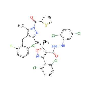 Cc1nn(C(=O)c2cccs2)c(C)c1Cc1c(F)cccc1Cl.Cc1onc(-c2c(Cl)cccc2Cl)c1C(=O)NNc1cc(Cl)ccc1Cl